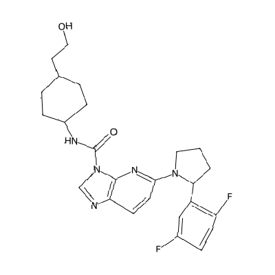 O=C(NC1CCC(CCO)CC1)n1cnc2ccc(N3CCCC3c3cc(F)ccc3F)nc21